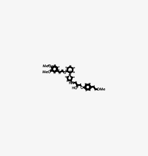 COCCc1ccc(OCC(O)CN[C@@H]2CCN([C@@H]3CCCC[C@@H]3OCCc3ccc(OC)c(OC)c3)C2)cc1